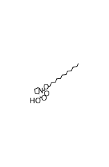 CCCCCCCCCCCCOC(=O)N1CCC[C@H]1C(=O)O